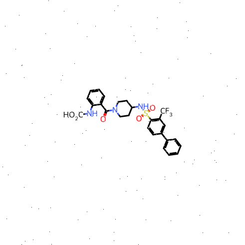 O=C(O)Nc1ccccc1C(=O)N1CCC(NS(=O)(=O)c2ccc(-c3ccccc3)cc2C(F)(F)F)CC1